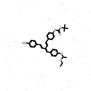 CCOC(C)Oc1ccc(C=C(C=Cc2ccc(O)cc2)C=Cc2ccc(OC(=O)OC(C)(C)C)cc2)cc1